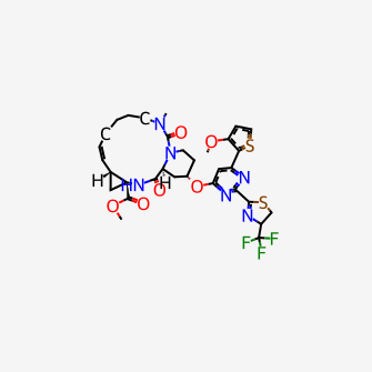 COC(=O)[C@@]12C[C@@H]1/C=C\CCCCN(C)C(=O)N1CC[C@H](Oc3cc(-c4sccc4OC)nc(C4=NC(C(F)(F)F)CS4)n3)C[C@H]1C(=O)N2